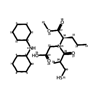 C1CCC(NC2CCCCC2)CC1.CCC[C@H](C(=O)OC)N(CC(=O)O)C(=O)C(C)CS